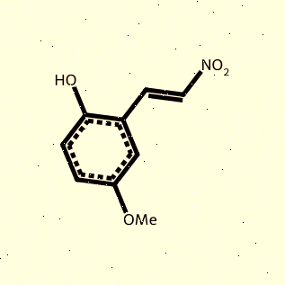 COc1ccc(O)c(C=C[N+](=O)[O-])c1